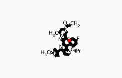 C=CC(=O)N1Cc2cc(-c3nc(-c4cnn(C)c4)c4ccsc4c3-c3c(F)cc(F)cc3OC(C)C)nn2[C@@H](C)C1